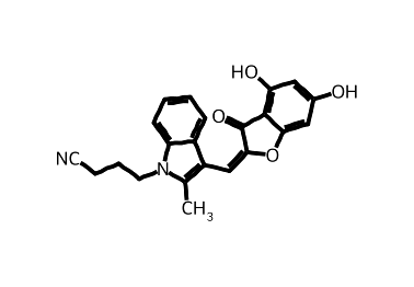 Cc1c(/C=C2/Oc3cc(O)cc(O)c3C2=O)c2ccccc2n1CCCC#N